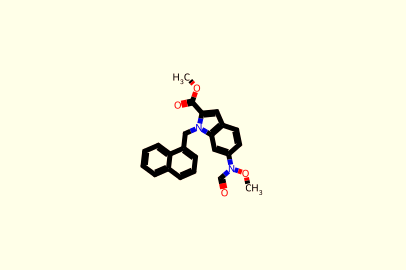 COC(=O)c1cc2ccc(N(C=O)OC)cc2n1Cc1cccc2ccccc12